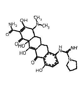 CN(C)C1C(O)=C(C(N)=O)C(=O)C2(O)C(O)=C3C(=O)c4c(O)ccc(NC(=N)N5CCCC5)c4CC3CC12